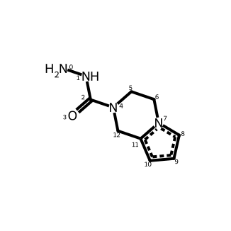 NNC(=O)N1CCn2cccc2C1